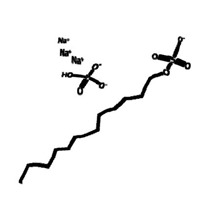 CCCCCCCCCCCCOS(=O)(=O)[O-].O=P([O-])([O-])O.[Na+].[Na+].[Na+]